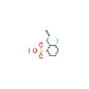 C=CCc1c(F)cccc1S(=O)(=O)O